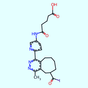 Cc1nnc(-c2ccc(NC(=O)CCCC(=O)O)cn2)c2c1CC(C(=O)I)CCCC2